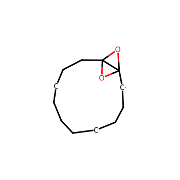 [CH]1CCCCCCCCCC23OC12O3